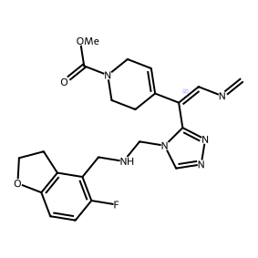 C=N/C=C(/C1=CCN(C(=O)OC)CC1)c1nncn1CNCc1c(F)ccc2c1CCO2